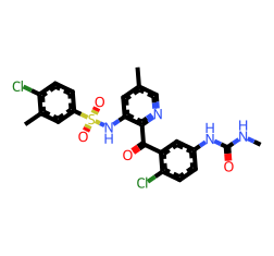 CNC(=O)Nc1ccc(Cl)c(C(=O)c2ncc(C)cc2NS(=O)(=O)c2ccc(Cl)c(C)c2)c1